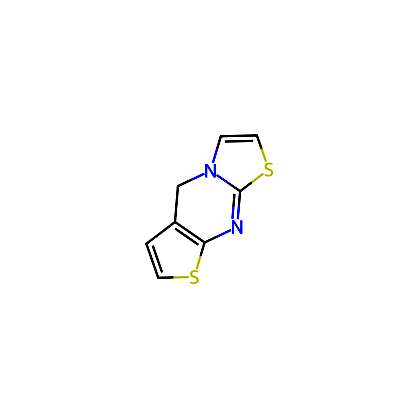 C1=CN2Cc3ccsc3N=C2S1